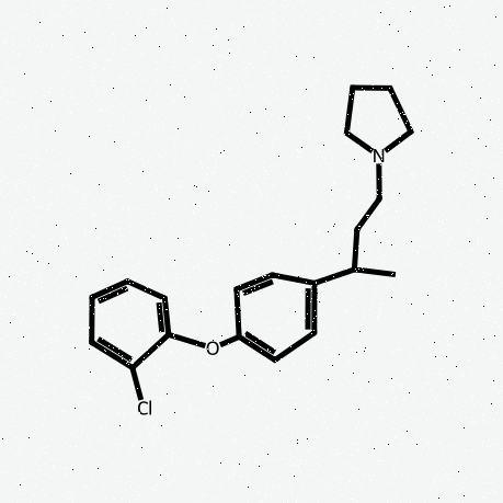 CC(CCN1CCCC1)c1ccc(Oc2ccccc2Cl)cc1